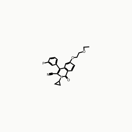 CCOCCOc1ccc2c(=O)n(C3CC3)c(C#N)c(-c3cccc(F)c3)c2c1